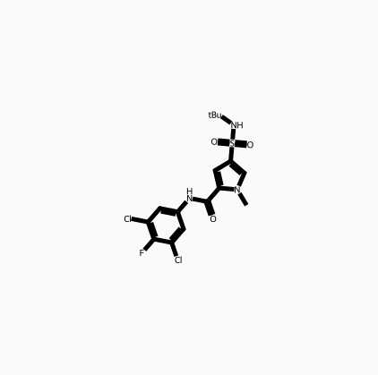 Cn1cc(S(=O)(=O)NC(C)(C)C)cc1C(=O)Nc1cc(Cl)c(F)c(Cl)c1